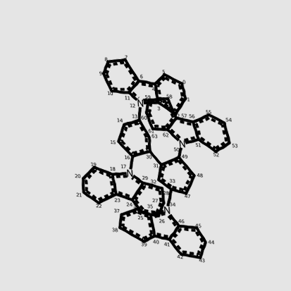 c1ccc2c(c1)c1ccccc1n2-c1ccc(-n2c3ccccc3c3ccccc32)c(-c2cc(-n3c4ccccc4c4ccccc43)ccc2-n2c3ccccc3c3ccccc32)c1